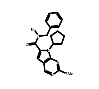 CCN(Cc1ccccc1)C(=O)c1cc2cnc(SC)nc2n1C1CCCC1